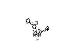 Clc1cc(Nc2ncnc3[nH]nc(OCCCN4CCCC4)c23)ccc1OCc1ccccn1